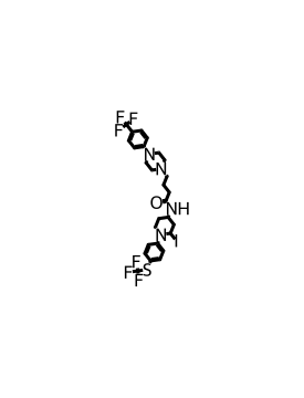 O=C(CCCN1CCN(c2ccc(C(F)(F)F)cc2)CC1)NC1CCN(c2ccc(SC(F)(F)F)cc2)C(I)C1